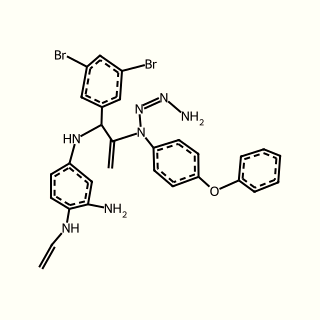 C=CNc1ccc(NC(C(=C)N(/N=N\N)c2ccc(Oc3ccccc3)cc2)c2cc(Br)cc(Br)c2)cc1N